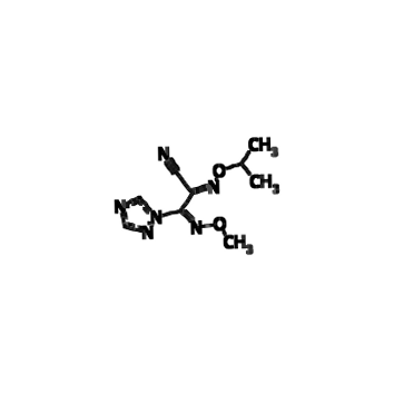 CO/N=C(\C(C#N)=N\OC(C)C)n1cncn1